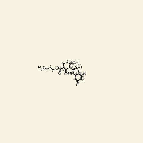 CCCCOC(=O)N1CCC(O)=C(C(=S)Nc2cc(F)cc(F)c2C)C1=O